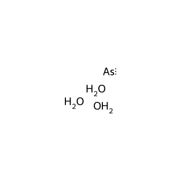 O.O.O.[As]